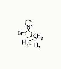 CC(C)C1(C)CCCC([n+]2ccccc2)C1.[Br-]